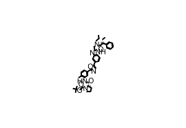 CCCN(Cc1nc2cc(-c3cnc(-c4ccc(C)c(NC(=O)[C@@H]5CCCN5C(=O)OC(C)(C)C)c4)o3)ccc2[nH]1)C(=O)[C@H](CC)c1ccccc1